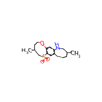 CC1CCCc2cc3c(cc2NC1)OCCC(C)CS3(=O)=O